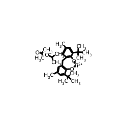 CC(C)[O-].CC(C)[O-].Cc1cc2c(c(C(C)(C)C)c1)[O][Ti+2][O]c1c(cc(C)cc1C(C)(C)C)C2